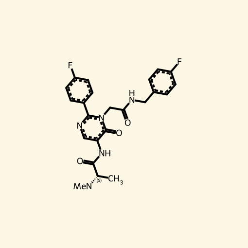 CN[C@@H](C)C(=O)Nc1cnc(-c2ccc(F)cc2)n(CC(=O)NCc2ccc(F)cc2)c1=O